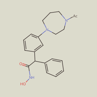 CC(=O)N1CCCN(c2cccc(C(C(=O)NO)c3ccccc3)c2)CC1